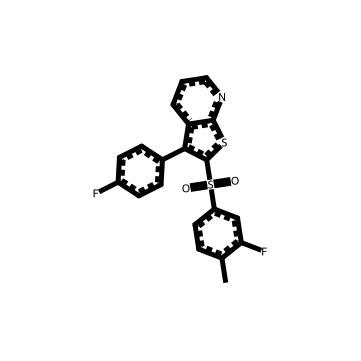 Cc1ccc(S(=O)(=O)c2sc3ncccc3c2-c2ccc(F)cc2)cc1F